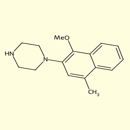 COc1c(N2CCNCC2)cc(C)c2ccccc12